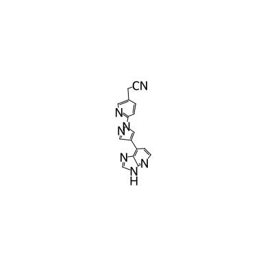 N#CCc1ccc(-n2cc(-c3ccnc4[nH]cnc34)cn2)nc1